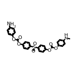 CNc1ccc(OC(=O)Oc2ccc(S(=O)(=O)c3ccc(OC(=O)Oc4ccc(N)cc4)cc3)cc2)cc1